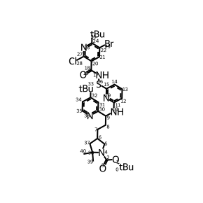 CC(C)(C)OC(=O)N1CC(CCC(Nc2cccc(SNC(=O)c3cc(Br)c(C(C)(C)C)nc3Cl)n2)c2cc(C(C)(C)C)ccn2)CC1(C)C